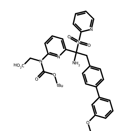 CCCOc1cccc(-c2ccc(CC(N)(c3cccc(N(CC(=O)O)C(=O)OC(C)(C)C)n3)S(=O)(=O)c3ccccn3)cc2)c1